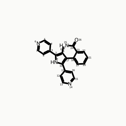 Cc1c(-c2ccncc2)[nH]c(-c2ccncc2)c1-c1ccccc1C(N)=O